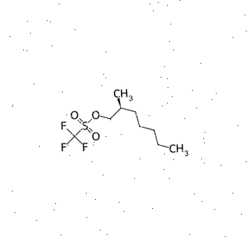 CCCCC[C@H](C)COS(=O)(=O)C(F)(F)F